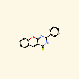 S=C1NC(c2ccccc2)N=C2Oc3ccccc3C=C12